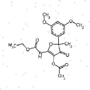 CCOC(=O)NC1=C(OC(C)=O)C(=O)C(C)(c2cc(OC)cc(OC)c2)O1